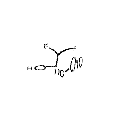 O=CO.OCC(F)F